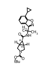 CC(C)(C)OC(=O)N1C[C@@H]2[C@H](C1)[C@H]2C(=O)NC(C)(C)c1noc2c(C3CC3)cccc12